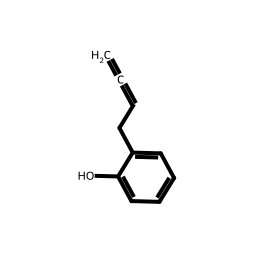 C=C=CCc1ccccc1O